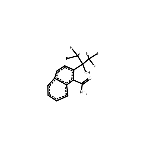 NC(=O)c1c(C(O)(C(F)(F)F)C(F)(F)F)ccc2ccccc12